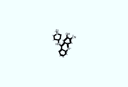 CCN1CCC(Nc2c3ccccc3nc3cc(C#N)c(O)cc23)CC1